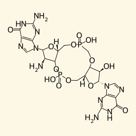 Nc1nc2c(ncn2C2O[C@@H]3COP(=O)(O)COC4[C@@H](O)[C@H](n5cnc6c(=O)[nH]c(N)nc65)O[C@@H]4COP(=O)(O)OC3[C@H]2N)c(=O)[nH]1